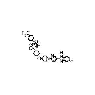 O=C(NS(=O)(=O)c1ccc(C(F)(F)F)cc1)[C@H]1CC[C@H](OC2CCN(c3ccc(-c4nc5cc(F)ccc5[nH]4)cn3)CC2)CC1